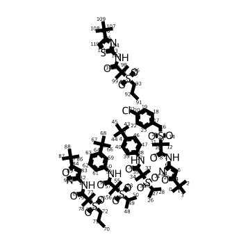 CC(C)(C)c1cc(NC(=O)C(C)(C)S(=O)(=O)Cc2ccc(Cl)cc2)no1.CC(C)S(=O)(=O)C(C)(C)C(=O)Nc1ccc(C(C)(C)C)cc1.CC(C)S(=O)(=O)C(C)(C)C(=O)Nc1cccc(C(C)(C)C)c1.CCCS(=O)(=O)C(C)(C)C(=O)Nc1cc(C(C)(C)C)on1.CCCS(=O)(=O)C(C)(C)C(=O)Nc1nc(C(C)(C)C)cs1